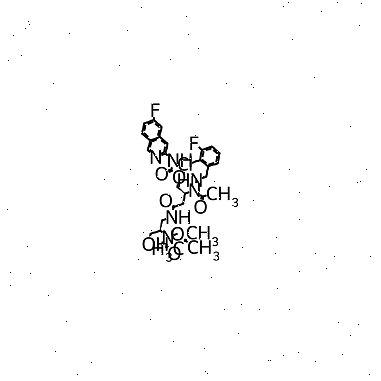 CC(=O)N(NCc1cccc(F)c1Cl)[C@H](COC(=O)Nc1cc2cc(F)ccc2cn1)CC(=O)NC[C@H](CO)N(C=O)OC(C)(C)C